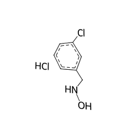 Cl.ONCc1cccc(Cl)c1